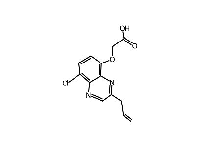 C=CCc1cnc2c(Cl)ccc(OCC(=O)O)c2n1